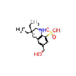 CCC1(CC)CNc2c(cc(CO)cc2S(=O)(=O)O)C1